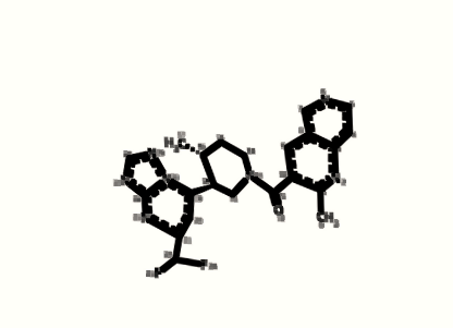 Cc1nc2ccncc2cc1C(=O)N1CC[C@@H](C)[C@H](c2cc(C(F)F)nc3ncnn23)C1